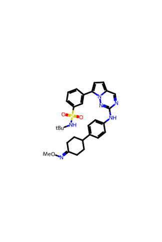 CON=C1CCC(c2ccc(Nc3ncc4ccc(-c5cccc(S(=O)(=O)NC(C)(C)C)c5)n4n3)cc2)CC1